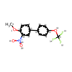 COc1ccc(-c2ccc(OC(F)(F)F)cc2)cc1[N+](=O)[O-]